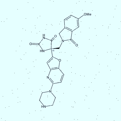 COc1ccc2c(c1)C(=O)N(C[C@@]1(c3cc4nc(N5CCNCC5)ccc4o3)NC(=O)NC1=O)C2